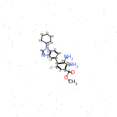 COC(=O)c1cc(F)c(-c2ccc3c(c2)ncn3C2CCCCC2)c(N)c1N